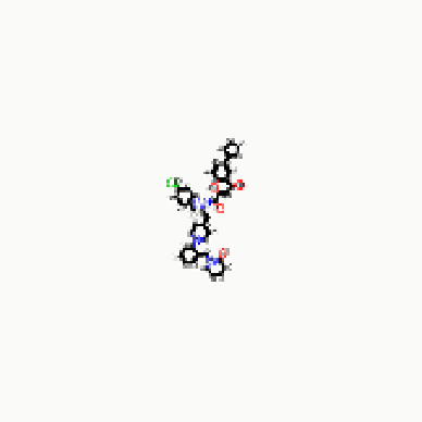 O=C(N[C@H](C=C1CCN(c2ccccc2CN2CCCCC2=O)CC1)Cc1ccc(Cl)cc1)c1cc(=O)c2cc(C3CCCC3)ccc2o1